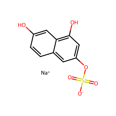 O=S(=O)([O-])Oc1cc(O)c2cc(O)ccc2c1.[Na+]